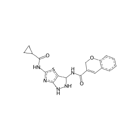 O=C(NC1NNc2nc(NC(=O)C3CC3)sc21)C1=Cc2ccccc2OC1